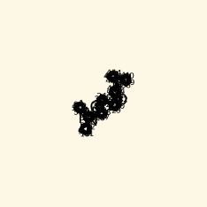 C1=CCC(c2nc(-c3ccccc3)nc(-c3cccc4c3oc3cccc(-c5cccc6oc7cc(-n8c9ccccc9c9ccccc98)ccc7c56)c34)n2)C=C1